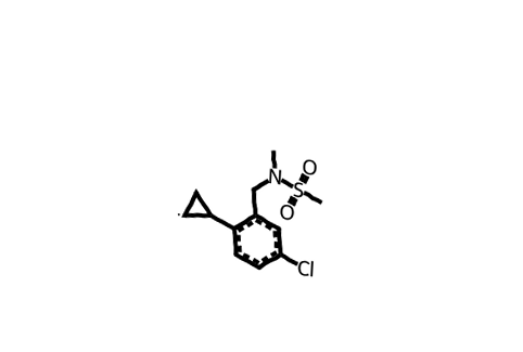 CN(Cc1cc(Cl)ccc1C1[CH]C1)S(C)(=O)=O